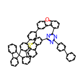 c1ccc(-c2ccc(-c3nc(-c4ccc5sc6ccccc6c5c4)nc(-c4cccc5oc6ccc(-c7ccc(-c8ccc9c(c8)-c8ccccc8C98c9ccccc9-c9ccccc98)cc7)cc6c45)n3)cc2)cc1